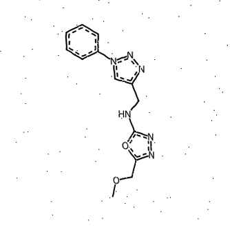 COCc1nnc(NCc2cn(-c3ccccc3)nn2)o1